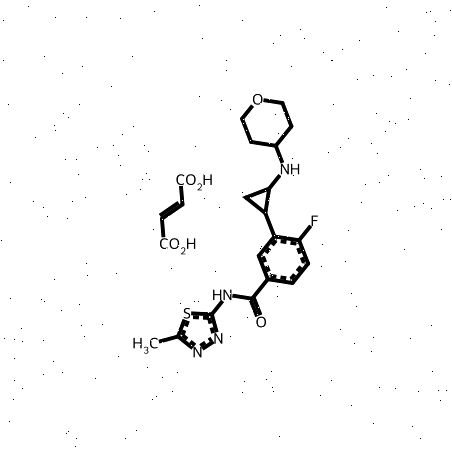 Cc1nnc(NC(=O)c2ccc(F)c(C3CC3NC3CCOCC3)c2)s1.O=C(O)C=CC(=O)O